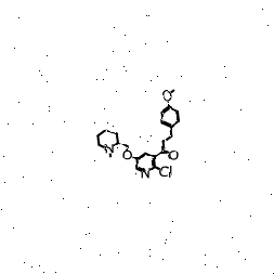 COc1ccc(CCC(=O)c2cc(OC[C@@H]3CCCCN3C)cnc2Cl)cc1